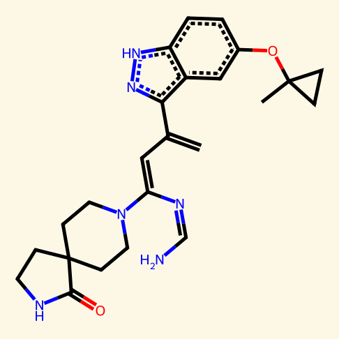 C=C(/C=C(\N=C/N)N1CCC2(CCNC2=O)CC1)c1n[nH]c2ccc(OC3(C)CC3)cc12